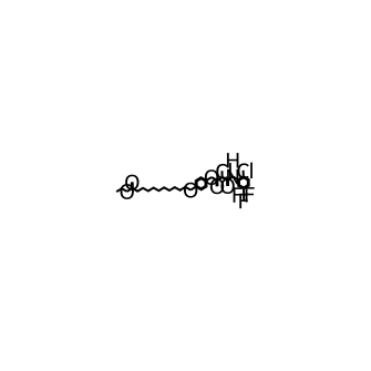 CCOC(=O)CCCCCCCCCCOc1ccc(OC(=O)C(Cl)C(=O)Nc2cc(C(F)(F)F)ccc2Cl)cc1